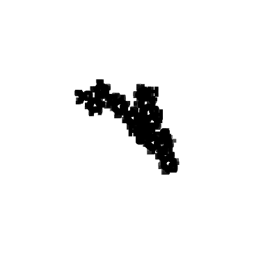 CC(C)Oc1ccccc1[C@@H]1CCCN1C1CC2(CCN(c3ccc(C(=O)NS(=O)(=O)c4ccc(NCC5CCOCC5)c([N+](=O)[O-])c4)c(N4c5cc6cc[nH]c6nc5O[C@@H]5CCOC[C@H]54)c3)CC2)C1